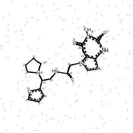 Cn1c(=O)[nH]c2ncn(CC(=O)NCC(c3ccco3)N3CCCC3)c2c1=O